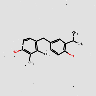 Cc1c(O)ccc(Cc2ccc(O)c(C(C)C)c2)c1C